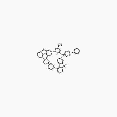 CC1(C)c2cc(N(c3ccc(-c4ccccc4)cc3)c3cc(C#N)cc(-c4cc5sc6cccc7c8ccccc8c(c4)c5c67)c3)ccc2-c2c(-c3ccccc3)cccc21